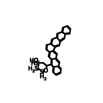 O[SiH]1CC(c2c3ccccc3cc3cc4c(ccc5cc6cc7ccccc7cc6cc54)cc23)O[SiH2][SiH2]1